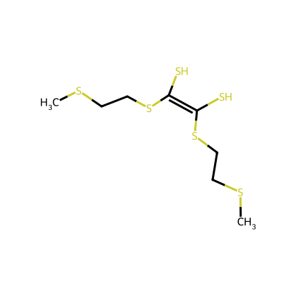 CSCCS/C(S)=C(/S)SCCSC